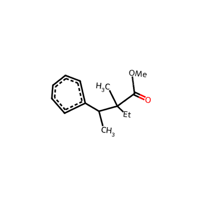 CCC(C)(C(=O)OC)C(C)c1ccccc1